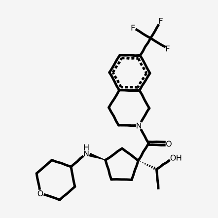 CC(O)[C@]1(C(=O)N2CCc3ccc(C(F)(F)F)cc3C2)CC[C@@H](NC2CCOCC2)C1